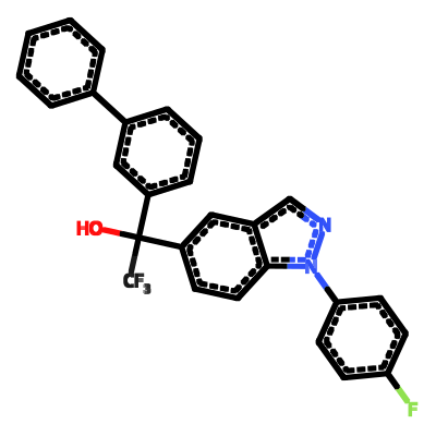 OC(c1cccc(-c2ccccc2)c1)(c1ccc2c(cnn2-c2ccc(F)cc2)c1)C(F)(F)F